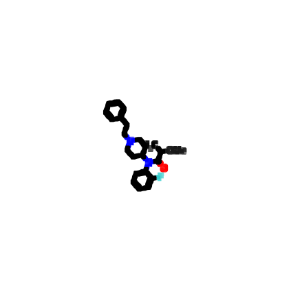 COC(C)C(=O)N(c1ccccc1F)C1CCN(CCc2ccccc2)CC1